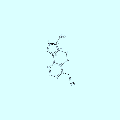 C=Cc1cccc2c1CCc1c(C=O)ncn1-2